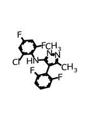 Cc1nn(C)c(Nc2c(F)cc(F)cc2Cl)c1-c1c(F)cccc1F